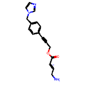 NC/C=C/C(=O)OCC#Cc1ccc(Cn2ccnc2)cc1